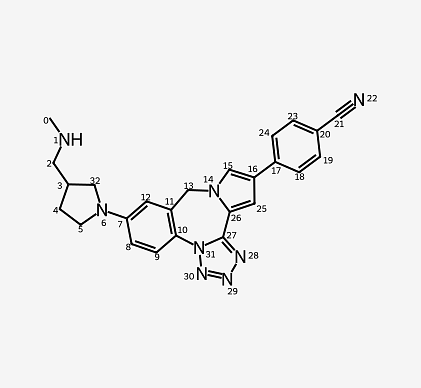 CNCC1CCN(c2ccc3c(c2)Cn2cc(-c4ccc(C#N)cc4)cc2-c2nnnn2-3)C1